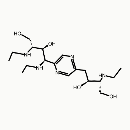 CCN[C@H](c1cnc(C[C@H](O)[C@@H](CO)NCC)cn1)[C@H](O)[C@@H](CO)NCC